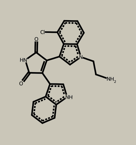 NCCn1cc(C2=C(c3c[nH]c4ccccc34)C(=O)NC2=O)c2c(Cl)cccc21